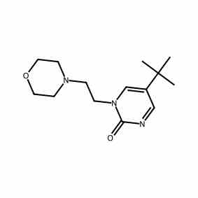 CC(C)(C)c1cnc(=O)n(CCN2CCOCC2)c1